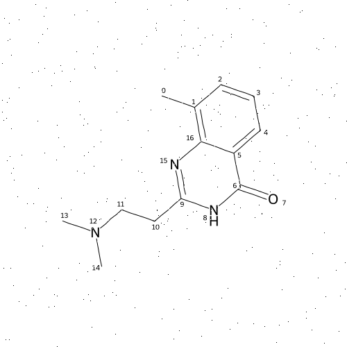 Cc1cccc2c(=O)[nH]c(CCN(C)C)nc12